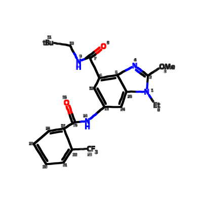 CCn1c(OC)nc2c(C(=O)NCC(C)(C)C)cc(NC(=O)c3ccccc3C(F)(F)F)cc21